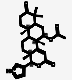 CC(=O)O[C@@H]1CC2C(C)(C)C(=O)CC[C@]2(C)C2CC[C@]3(C)C(=CC(=O)O[C@H]3c3cc[nH]c3)[C@@]21C